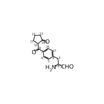 N[C@H](C=O)Cc1ccc(C(=O)C2CCCC2=O)cc1